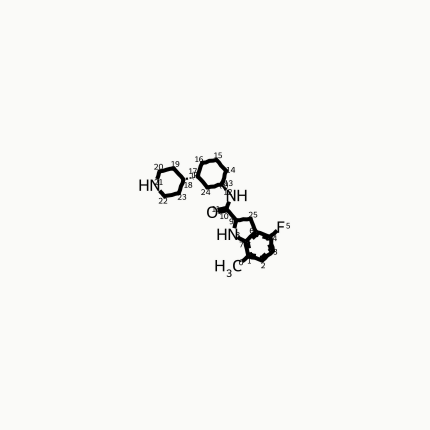 Cc1ccc(F)c2c1NC(C(=O)N[C@@H]1CCC[C@@H](C3CCNCC3)C1)C2